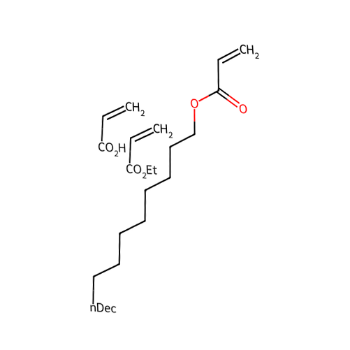 C=CC(=O)O.C=CC(=O)OCC.C=CC(=O)OCCCCCCCCCCCCCCCCCC